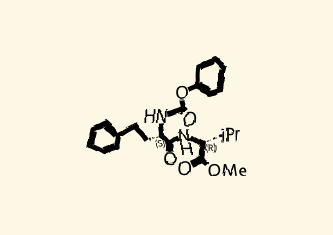 COC(=O)[C@H](NC(=O)[C@H](CCc1ccccc1)NC(=O)Oc1ccccc1)C(C)C